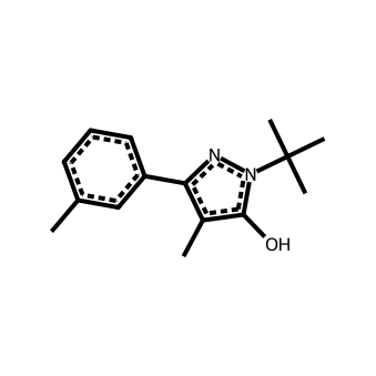 Cc1cccc(-c2nn(C(C)(C)C)c(O)c2C)c1